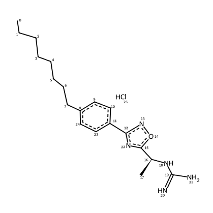 CCCCCCCCc1ccc(-c2noc([C@H](C)NC(=N)N)n2)cc1.Cl